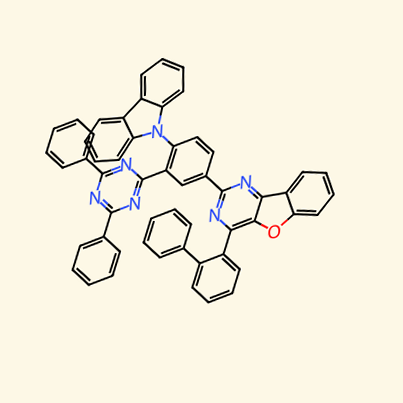 c1ccc(-c2nc(-c3ccccc3)nc(-c3cc(-c4nc(-c5ccccc5-c5ccccc5)c5oc6ccccc6c5n4)ccc3-n3c4ccccc4c4ccccc43)n2)cc1